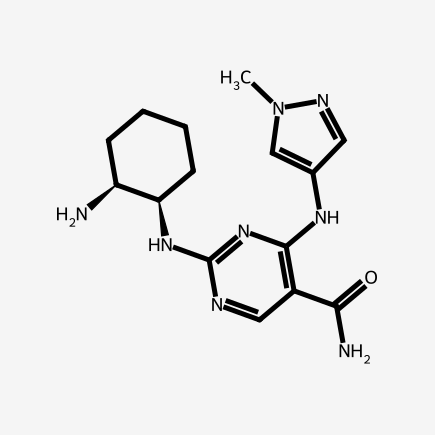 Cn1cc(Nc2nc(N[C@@H]3CCCC[C@@H]3N)ncc2C(N)=O)cn1